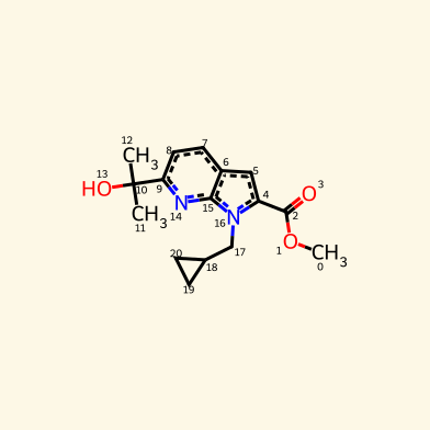 COC(=O)c1cc2ccc(C(C)(C)O)nc2n1CC1CC1